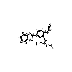 CC(O)Oc1cc(-c2nc3ccccc3o2)ccc1CC#N